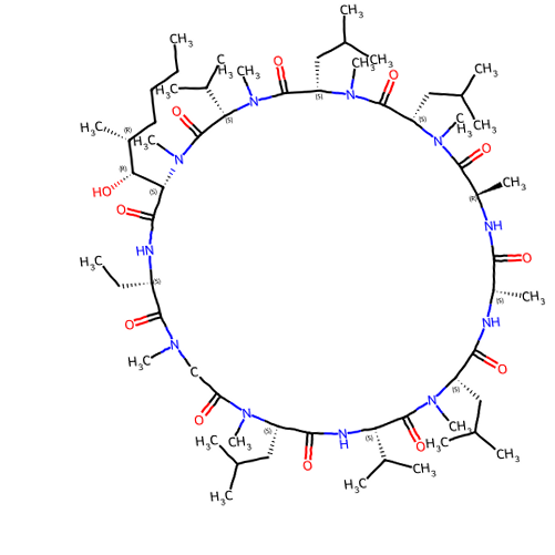 CCCC[C@@H](C)[C@@H](O)[C@H]1C(=O)N[C@@H](CC)C(=O)N(C)CC(=O)N(C)[C@@H](CC(C)C)C(=O)N[C@@H](C(C)C)C(=O)N(C)[C@@H](CC(C)C)C(=O)N[C@@H](C)C(=O)N[C@H](C)C(=O)N(C)[C@@H](CC(C)C)C(=O)N(C)[C@@H](CC(C)C)C(=O)N(C)[C@@H](C(C)C)C(=O)N1C